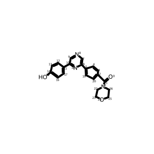 O=C(c1ccc(-c2cncc(-c3ccc(O)cc3)n2)cc1)N1CCOCC1